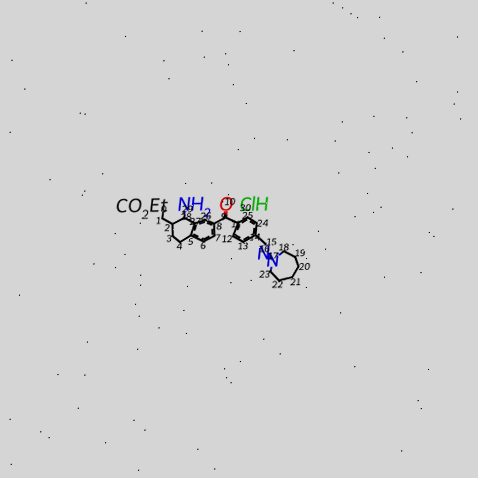 CCOC(=O)CC1CCc2ccc(C(=O)c3ccc(C=NN4CCCCCC4)cc3)cc2C1N.Cl